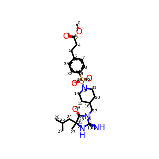 COC(=O)CCc1ccc(S(=O)(=O)N2CCC(CN3C(=N)NC(C)(CC(C)C)C3=O)CC2)cc1